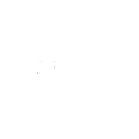 CCCOB(OCCC)c1ccc(-c2ccccc2)cc1